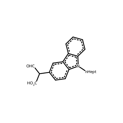 CCCCCCCn1c2ccccc2c2cc(C(C=O)C(=O)O)ccc21